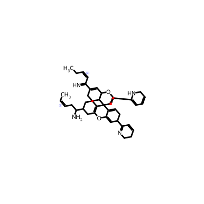 C/C=C\CC(N)C1CCC2=C(C1)OC1=CC(C3=NCCC=C3)CC=C1C21C2C=CC(C3=CC=CCN3)=CC2OC2C=C(C(=N)/C=C\CC)CCC21